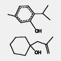 C=C(C)CC1(O)CCCCC1.Cc1ccc(C(C)C)c(O)c1